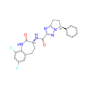 O=C(N[C@H]1CCc2cc(F)cc(F)c2NC1=O)c1nc2n(n1)[C@H](c1ccccc1)CC2